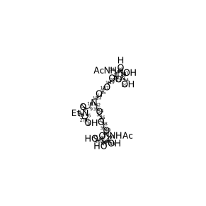 CC[C@@H]1C[C@@H](O)CN1C(=O)CCN(CCOCCOCCO[C@@H]1OC(CO)[C@@H](O)[C@H](O)C1NC(C)=O)CCOCCOCCO[C@@H]1OC(CO)[C@@H](O)[C@H](O)C1NC(C)=O